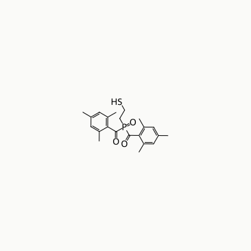 Cc1cc(C)c(C(=O)P(=O)(CCS)C(=O)c2c(C)cc(C)cc2C)c(C)c1